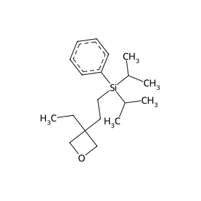 CCC1(CC[Si](c2ccccc2)(C(C)C)C(C)C)COC1